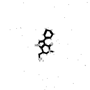 CN1CC(CC(F)(F)F)c2[nH]cc(-c3ccccc3)c2C1=O